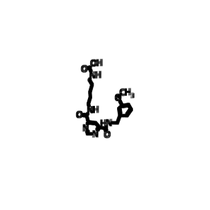 COc1cccc(CNC(=O)c2cc(C(=O)NCCCCCNC(=O)O)ncn2)c1